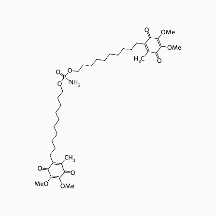 COC1=C(OC)C(=O)C(CCCCCCCCCCOP(N)(=O)OCCCCCCCCCCC2=C(C)C(=O)C(OC)=C(OC)C2=O)=C(C)C1=O